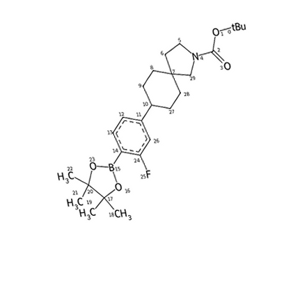 CC(C)(C)OC(=O)N1CCC2(CCC(c3ccc(B4OC(C)(C)C(C)(C)O4)c(F)c3)CC2)C1